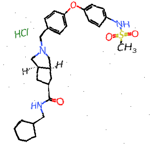 CS(=O)(=O)Nc1ccc(Oc2ccc(CN3C[C@H]4C[C@@H](C(=O)NCC5CCCCC5)C[C@H]4C3)cc2)cc1.Cl